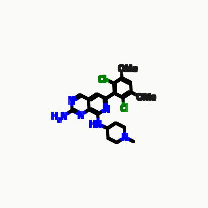 COc1cc(OC)c(Cl)c(-c2cc3cnc(N)nc3c(NC3CCN(C)CC3)n2)c1Cl